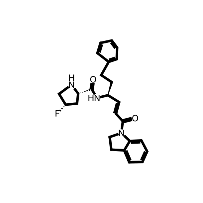 O=C(N[C@H](C=CC(=O)N1CCc2ccccc21)CCc1ccccc1)[C@@H]1C[C@H](F)CN1